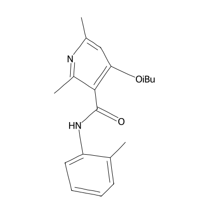 Cc1cc(OCC(C)C)c(C(=O)Nc2ccccc2C)c(C)n1